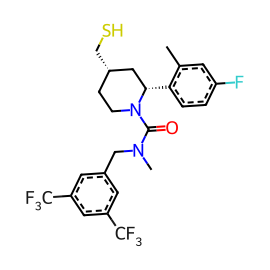 Cc1cc(F)ccc1[C@H]1C[C@@H](CS)CCN1C(=O)N(C)Cc1cc(C(F)(F)F)cc(C(F)(F)F)c1